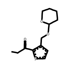 CCC(=O)c1sccc1COC1CCCCO1